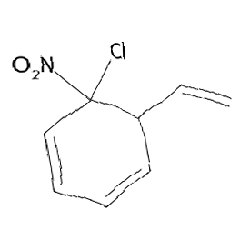 C=CC1C=CC=CC1(Cl)[N+](=O)[O-]